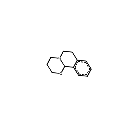 c1ccc2c(c1)CCN1CCCOC21